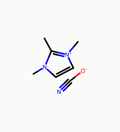 Cc1n(C)cc[n+]1C.N#C[O-]